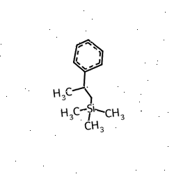 C[C](C[Si](C)(C)C)c1ccccc1